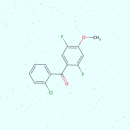 COc1cc(F)c(C(=O)c2ccccc2Cl)cc1F